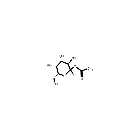 CC(=O)OC1(Br)O[C@H](CO)[C@H](O)[C@H](O)[C@H]1N